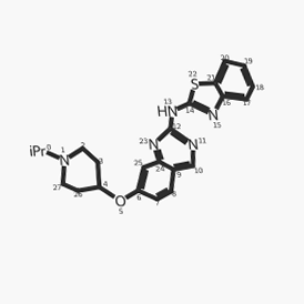 CC(C)N1CCC(Oc2ccc3cnc(Nc4nc5ccccc5s4)nc3c2)CC1